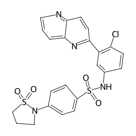 O=S(=O)(Nc1ccc(Cl)c(-c2ccc3ncccc3n2)c1)c1ccc(N2CCCS2(=O)=O)cc1